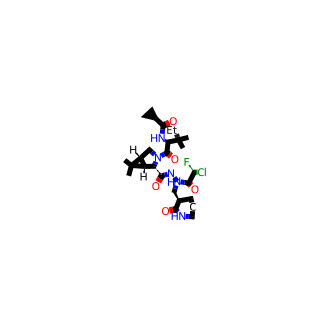 CCC(C)(C)[C@H](NC(=O)C1CC1)C(=O)N1C[C@H]2[C@@H]([C@H]1C(=O)NN(C[C@H]1CCCNC1=O)C(=O)[C@H](F)Cl)C2(C)C